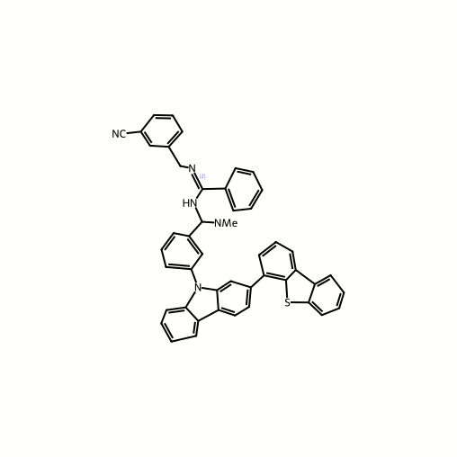 CNC(N/C(=N\Cc1cccc(C#N)c1)c1ccccc1)c1cccc(-n2c3ccccc3c3ccc(-c4cccc5c4sc4ccccc45)cc32)c1